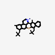 Cc1cc(CC(C)(C)C)c2cc3c4c([n+](C)ccc4c2c1)-c1c(c(CC(C)(C)C)c2ccccc2c1C)S3